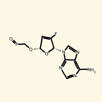 Nc1ncnc2c1ncn2[C@@H]1O[C@H](OCP=O)C=C1F